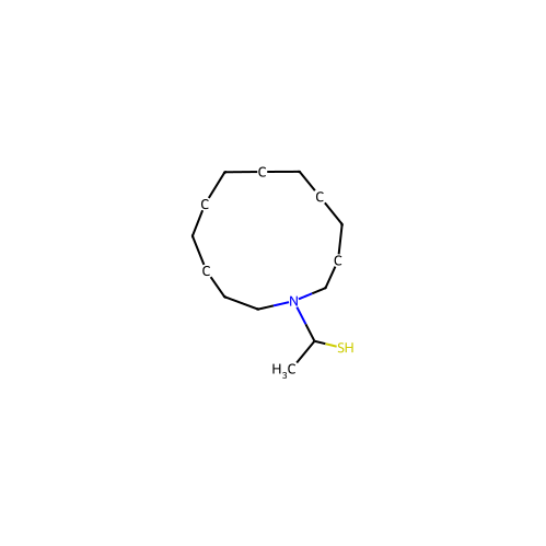 CC(S)N1CCCCCCCCCCCC1